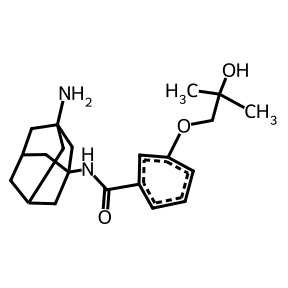 CC(C)(O)COc1cccc(C(=O)NC23CC4CC(CC(N)(C4)C2)C3)c1